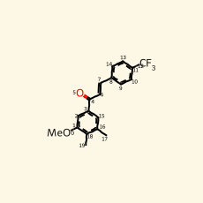 COc1cc(C(=O)/C=C/c2ccc(C(F)(F)F)cc2)cc(C)c1C